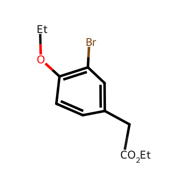 CCOC(=O)Cc1ccc(OCC)c(Br)c1